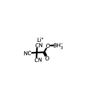 [BH3-]OC(=O)C(C#N)(C#N)C#N.[Li+]